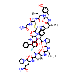 CCCC[C@@H](C(=O)N1CCC[C@@H]1C(=O)N[C@@H](CC(=O)O)C(=O)N[C@H](C(=O)N(C)[C@H](C(=O)N[C@@H](CCC(N)=O)C(=O)N1CCCC1)C(C)C)C(C)C)N(C)C(=O)C(Cc1ccccc1)N(C)C(=O)[C@H](Cc1ccc(F)cc1)NC(=O)CSC[C@H](NC(=O)[C@H](CC(C)C)NC(=O)[C@H](Cc1ccc(O)cc1)NC(=O)[C@H](Cc1c[nH]c2ccccc12)NC)C(=O)NCC(N)=O